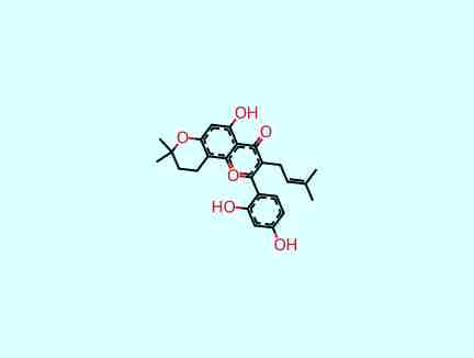 CC(C)=CCc1c(-c2ccc(O)cc2O)oc2c3c(cc(O)c2c1=O)OC(C)(C)CC3